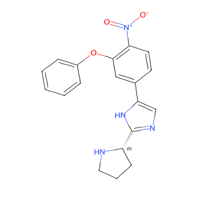 O=[N+]([O-])c1ccc(-c2cnc([C@@H]3CCCN3)[nH]2)cc1Oc1ccccc1